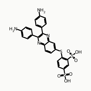 Nc1ccc(-c2nc3ccc(Sc4ccc(S(=O)(=O)O)cc4S(=O)(=O)O)cc3nc2-c2ccc(N)cc2)cc1